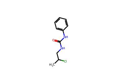 CC(Cl)CNC(=O)Nc1ccccc1